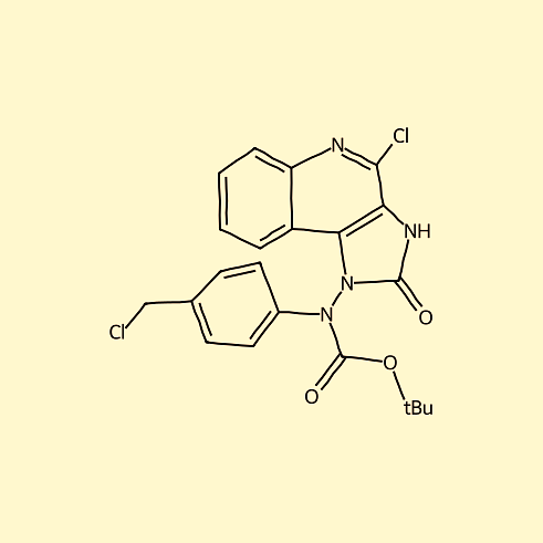 CC(C)(C)OC(=O)N(c1ccc(CCl)cc1)n1c(=O)[nH]c2c(Cl)nc3ccccc3c21